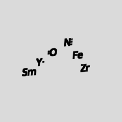 [Fe].[N].[O].[Sm].[Y].[Zr]